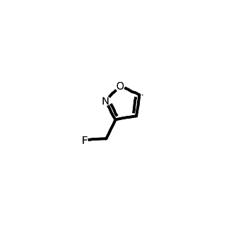 FCc1c[c]on1